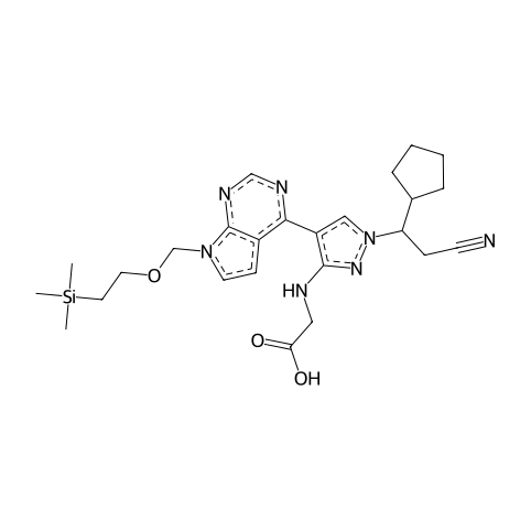 C[Si](C)(C)CCOCn1ccc2c(-c3cn(C(CC#N)C4CCCC4)nc3NCC(=O)O)ncnc21